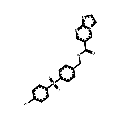 CC(=O)c1ccc(S(=O)(=O)c2ccc(CNC(=O)c3cnc4nccn4c3)cc2)cc1